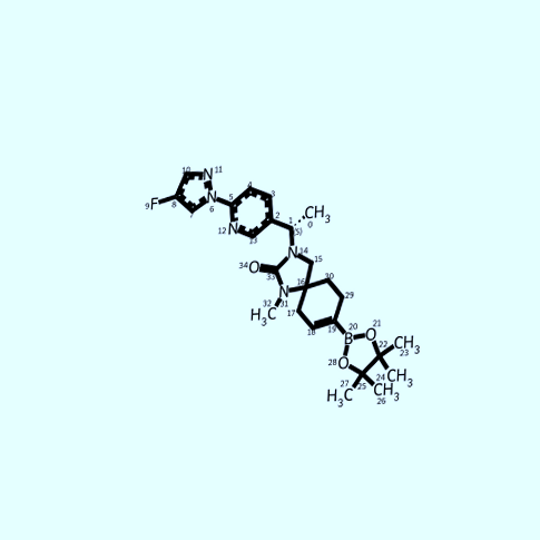 C[C@@H](c1ccc(-n2cc(F)cn2)nc1)N1CC2(CC=C(B3OC(C)(C)C(C)(C)O3)CC2)N(C)C1=O